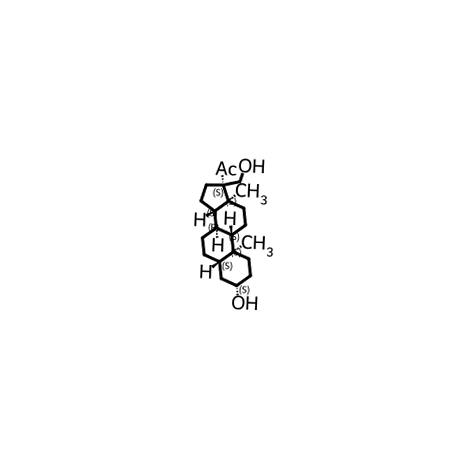 CC(=O)[C@@]1(CO)CC[C@H]2[C@@H]3CC[C@H]4C[C@@H](O)CC[C@]4(C)[C@H]3CC[C@@]21C